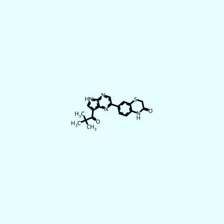 CC(C)(C)C(=O)c1c[nH]c2ncc(-c3ccc4c(c3)SCC(=O)N4)nc12